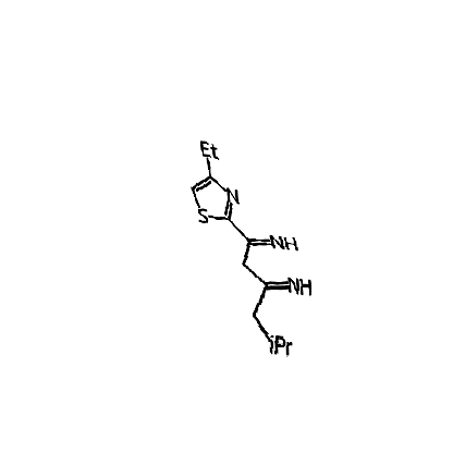 CCc1csc(C(=N)CC(=N)CC(C)C)n1